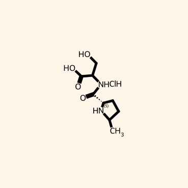 CC1CC[C@@H](C(=O)NC(CO)C(=O)O)N1.Cl